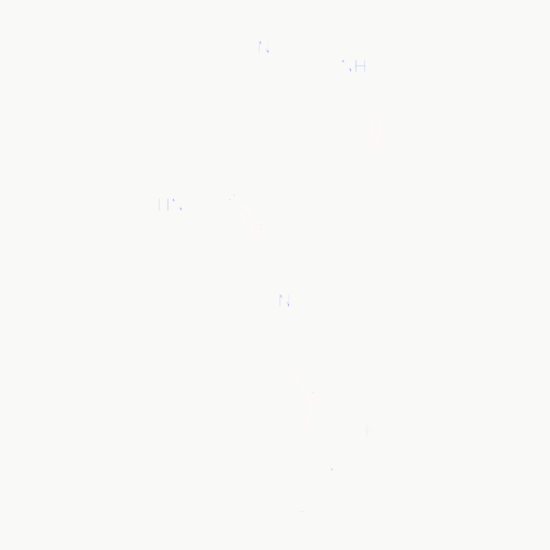 CC(=O)Nc1cc(C(=O)NC(C)c2ccc(OCC(C)(F)F)nc2)cc(C)n1